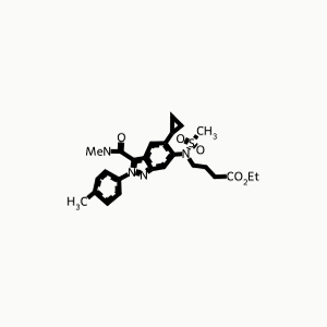 CCOC(=O)CCCN(c1cc2nn(-c3ccc(C)cc3)c(C(=O)NC)c2cc1C1CC1)S(C)(=O)=O